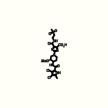 CO[C@H]1CN(c2nc(C(=O)NCCS(C)(=O)=O)c(C(=O)O)s2)CCC1NC(=O)c1[nH]c(C)c(Cl)c1Cl